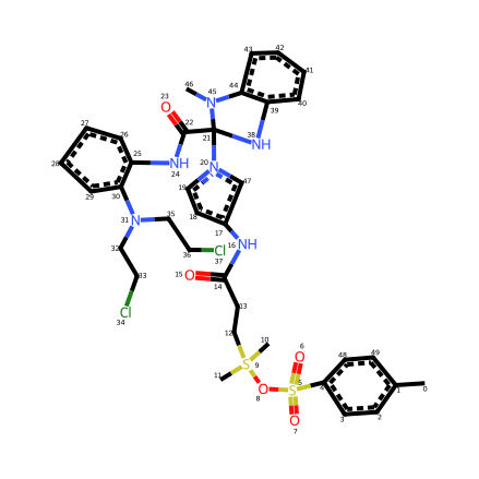 Cc1ccc(S(=O)(=O)OS(C)(C)CCC(=O)Nc2ccn(C3(C(=O)Nc4ccccc4N(CCCl)CCCl)Nc4ccccc4N3C)c2)cc1